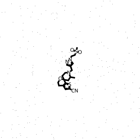 CC1CC2(CCN1Cc1cnn(CCS(C)(=O)=O)c1)OCCc1cc(C#N)sc12